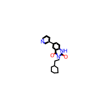 O=c1[nH]c2ccc(-c3cccnc3)cc2c(=O)n1CCC1CCCCC1